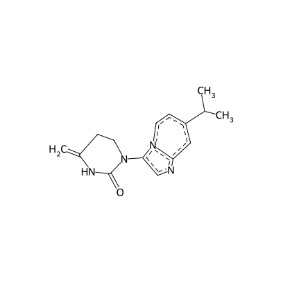 C=C1CCN(c2cnc3cc(C(C)C)ccn23)C(=O)N1